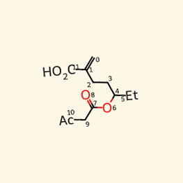 C=C(CCC(CC)OC(=O)CC(C)=O)C(=O)O